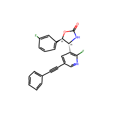 O=C1N[C@H](c2cc(C#Cc3ccccc3)cnc2F)[C@@H](c2cccc(F)c2)O1